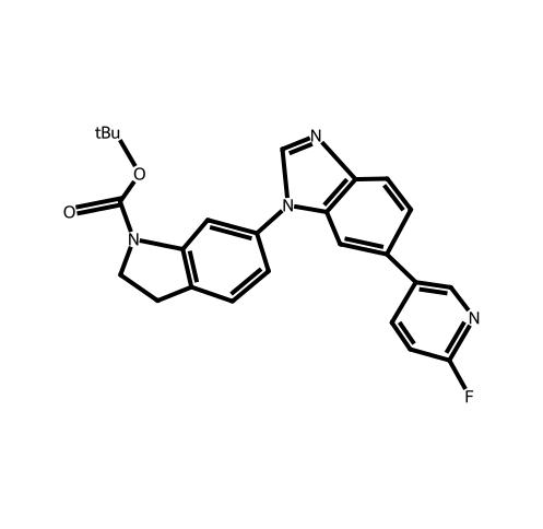 CC(C)(C)OC(=O)N1CCc2ccc(-n3cnc4ccc(-c5ccc(F)nc5)cc43)cc21